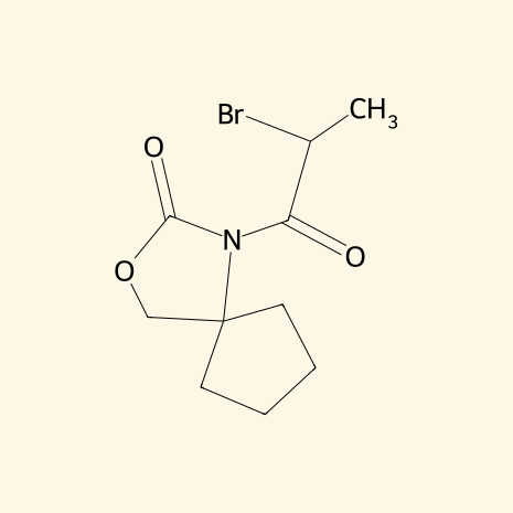 CC(Br)C(=O)N1C(=O)OCC12CCCC2